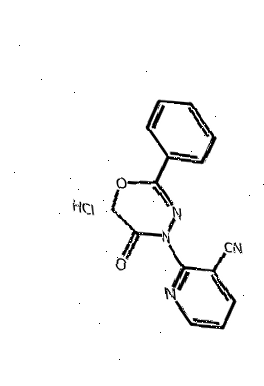 Cl.N#Cc1cccnc1N1N=C(c2ccccc2)OCC1=O